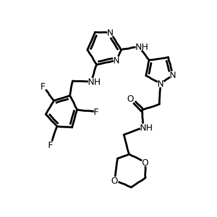 O=C(Cn1cc(Nc2nccc(NCc3c(F)cc(F)cc3F)n2)cn1)NCC1COCCO1